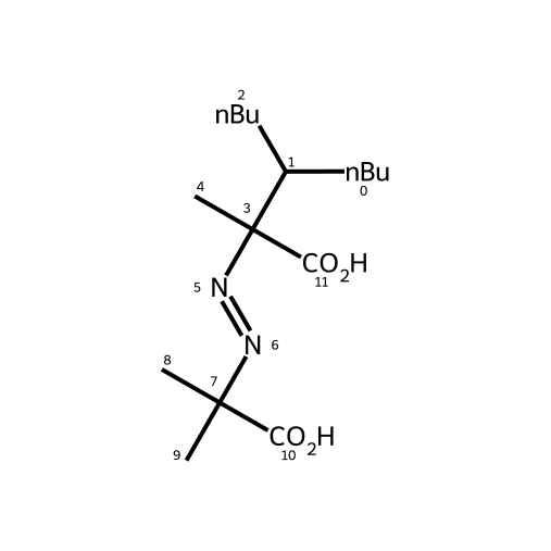 CCCCC(CCCC)C(C)(N=NC(C)(C)C(=O)O)C(=O)O